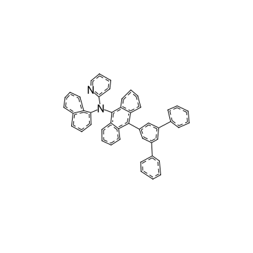 c1ccc(-c2cc(-c3ccccc3)cc(-c3c4ccccc4c(N(c4ccccn4)c4cccc5ccccc45)c4ccccc34)c2)cc1